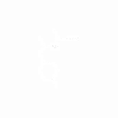 CCCCCC(C)NC(C)CC1CCC(C)CC1